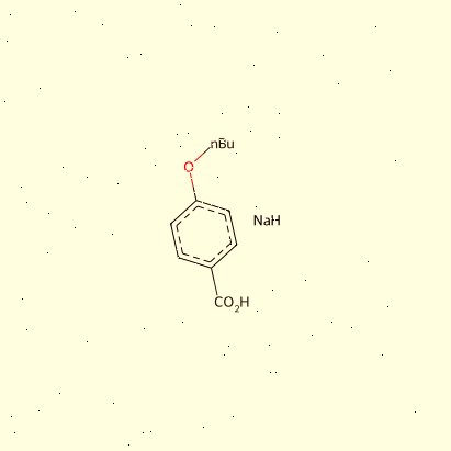 CCCCOc1ccc(C(=O)O)cc1.[NaH]